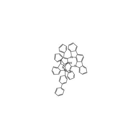 c1ccc(-c2ccc(C3=NC(c4ccccc4)NC(n4c5ccccc5c5ccc6c7ccccc7n(-c7cc8c(cc7-c7ccccc7)c7ccccc7n8-c7ccccc7)c6c54)=N3)cc2)cc1